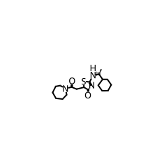 C[C@H](NC1=NC(=O)C(CC(=O)N2CCCCCC2)S1)C1CCCCC1